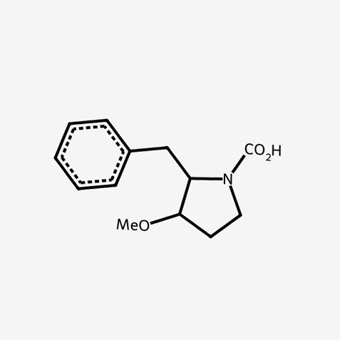 COC1CCN(C(=O)O)C1Cc1ccccc1